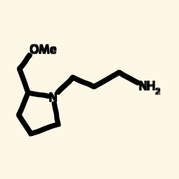 COCC1CCCN1CCCN